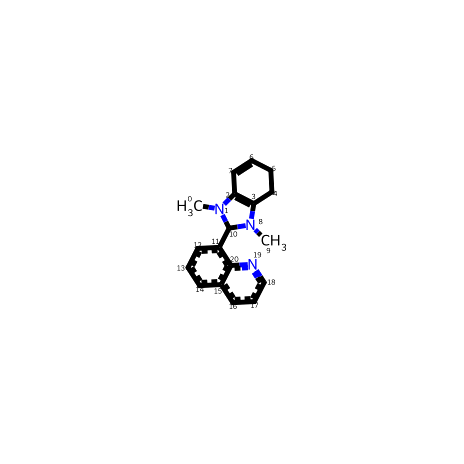 CN1C2=C(CCC=C2)N(C)C1c1cccc2cccnc12